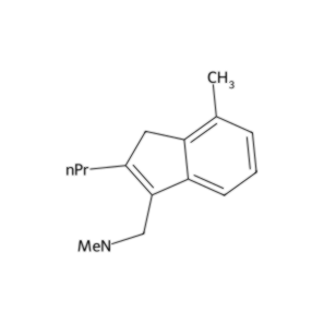 CCCC1=C(CNC)c2cccc(C)c2C1